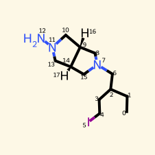 CCC(CCI)CN1C[C@H]2CN(N)C[C@H]2C1